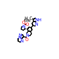 Cc1c[nH]c2ncc(-c3cc4c(c([C@@H]5CCCN5C(=O)OC(C)(C)C)c3)CN(C(=O)c3cnn5cccnc35)CC4)cc12